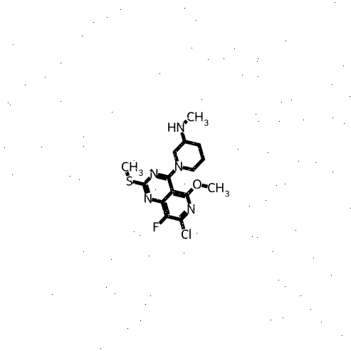 CNC1CCCN(c2nc(SC)nc3c(F)c(Cl)nc(OC)c23)C1